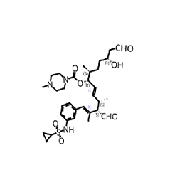 C/C(=C\c1cccc(NS(=O)(=O)C2CC2)c1)[C@@H](C=O)[C@@H](C)/C=C/[C@H](OC(=O)N1CCN(C)CC1)[C@@H](C)CC[C@@H](O)CC=O